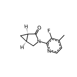 Cc1ccnc(N2C[C@H]3C[C@H]3C2=O)c1F